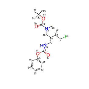 CC(CF)C(CNC(=O)Oc1ccccc1)CN(C)C(=O)OC(C)(C)C